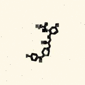 CC(=O)Nc1cc(Cl)ccc1OCC(O)CN1CCC(Nc2ccc(F)cc2)CC1